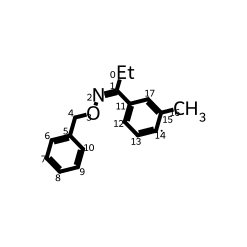 CCC(=NOCc1ccccc1)c1cc[c]c(C)c1